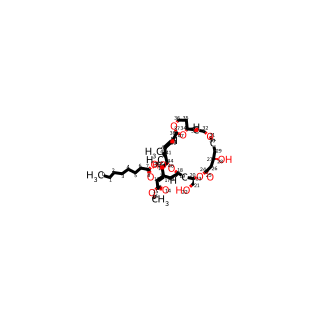 CCCCCCCC(=O)O[C@H]1/C(=C/C(=O)OC)C[C@H]2C[C@H](CO)OC(=O)C[C@H](O)CCOCC[C@@H]3CCO[C@H](/C=C/C(C)(C)[C@]1(O)O2)O3